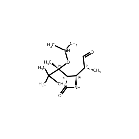 C[C@@H](C=O)[C@H]1NC(=O)[C@@H]1[C@@](C)(O[SiH](C)C)C(C)(C)C